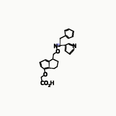 O=C(O)COc1cccc2c1CCCC2CO/N=C(/Cc1ccccc1)c1cccnc1